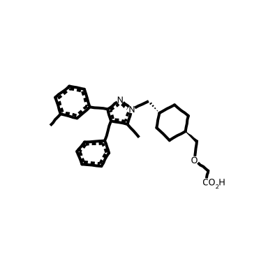 Cc1cccc(-c2nn(C[C@H]3CC[C@H](COCC(=O)O)CC3)c(C)c2-c2ccccc2)c1